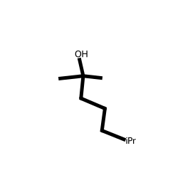 [CH2]C(C)CCCC(C)(C)O